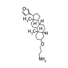 C[C@]12CCC(OCCCN)C[C@H]1CC[C@@H]1[C@@H]2CC[C@]2(C)[C@@H](c3ccoc3)CC[C@@H]12